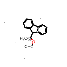 C[C@H](O[C]=O)C1c2ccccc2-c2ccccc21